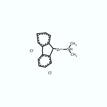 C[SiH](C)[Zr+2][CH]1c2ccccc2-c2ccccc21.[Cl-].[Cl-]